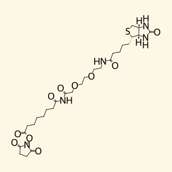 O=C(CCCC[C@@H]1SC[C@@H]2NC(=O)N[C@@H]21)NCCOCCOCC(=O)NC(=O)CCCCCCC(=O)ON1C(=O)CCC1=O